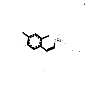 CCCC/C=[C]\c1ccc(C)cc1C